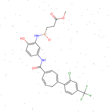 COC(=O)CC[S+]([O-])Nc1cc(NC(=O)C2=CC=C(c3ccc(C(F)(F)F)cc3Cl)CC=C2)ccc1O